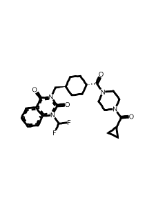 O=C(C1CC1)N1CCN(C(=O)[C@H]2CC[C@H](Cn3c(=O)c4ccccc4n(C(F)F)c3=O)CC2)CC1